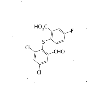 O=Cc1cc(Cl)cc(Cl)c1Sc1ccc(F)cc1C(=O)O